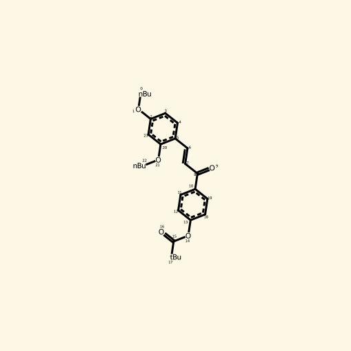 CCCCOc1ccc(C=CC(=O)c2ccc(OC(=O)C(C)(C)C)cc2)c(OCCCC)c1